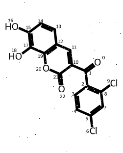 O=C(c1ccc(Cl)cc1Cl)c1cc2ccc(O)c(O)c2oc1=O